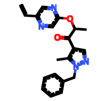 C=Cc1cnc(OC(C)C(=O)c2cnn(Cc3ccccc3)c2C)cn1